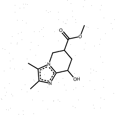 COC(=O)C1CC(O)c2nc(C)c(C)n2C1